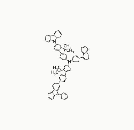 CC1(C)c2cc(-c3ccc4c5ccccc5n(-c5ccccc5)c4c3)ccc2-c2ccc(N(c3ccc(-c4cccc5ccccc45)cc3)c3ccc4c(c3)C(C)(C)c3cc(-n5c6ccccc6c6ccccc65)ccc3-4)cc21